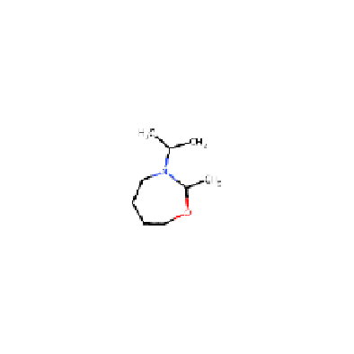 CC(C)N1CCCCOC1C